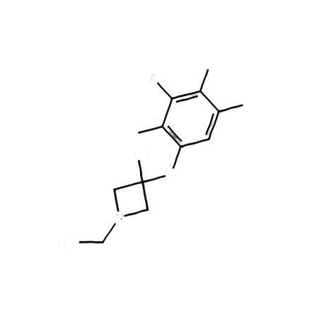 CCN1CC(C)(Oc2cc(F)c(F)c(F)c2F)C1